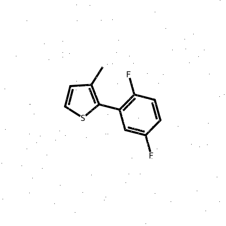 Cc1ccsc1-c1cc(F)ccc1F